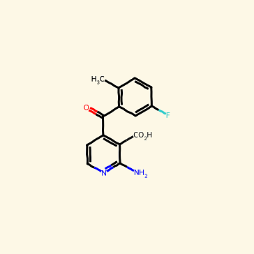 Cc1ccc(F)cc1C(=O)c1ccnc(N)c1C(=O)O